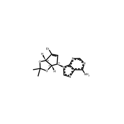 CCC1=C[C@@H](n2cnc3c(N)ncnc32)[C@@H]2OC(C)(C)O[C@H]12